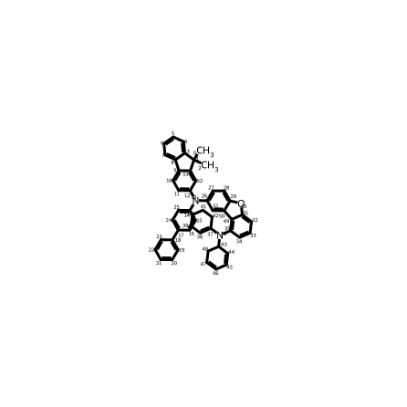 CC1(C)c2ccccc2-c2ccc(N(c3ccc(-c4ccccc4)cc3)c3ccc4oc5cccc(N(C6=CC=CCC6)C6C=CC=CC6)c5c4c3)cc21